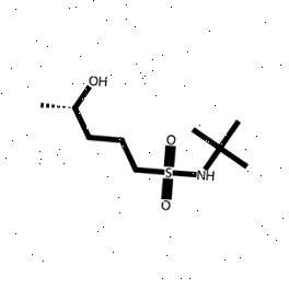 C[C@H](O)CCCS(=O)(=O)NC(C)(C)C